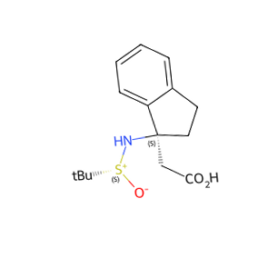 CC(C)(C)[S@@+]([O-])N[C@]1(CC(=O)O)CCc2ccccc21